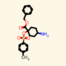 Cc1ccc(S(=O)(=O)OC2(C(=O)OCc3ccccc3)CCC(N)CC2)cc1